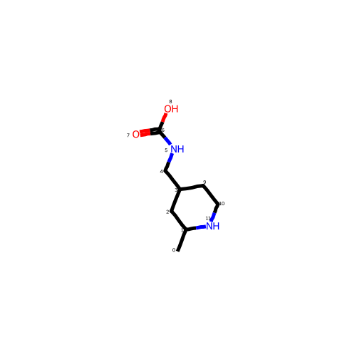 CC1CC(CNC(=O)O)CCN1